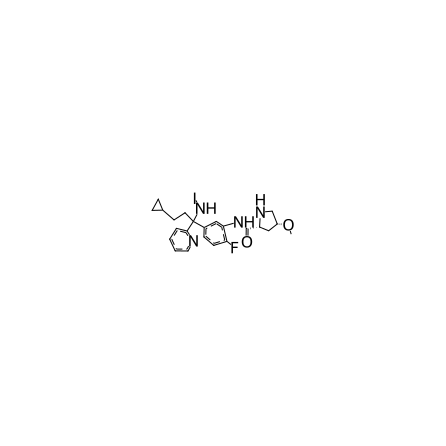 CO[C@H]1CN[C@@H](C(=O)Nc2cc(C(CCC3CC3)(NI)c3ccccn3)ccc2F)C1